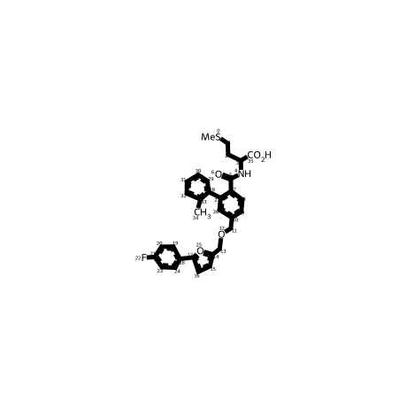 CSCCC(NC(=O)c1ccc(COCc2ccc(-c3ccc(F)cc3)o2)cc1-c1ccccc1C)C(=O)O